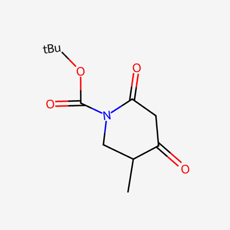 CC1CN(C(=O)OC(C)(C)C)C(=O)CC1=O